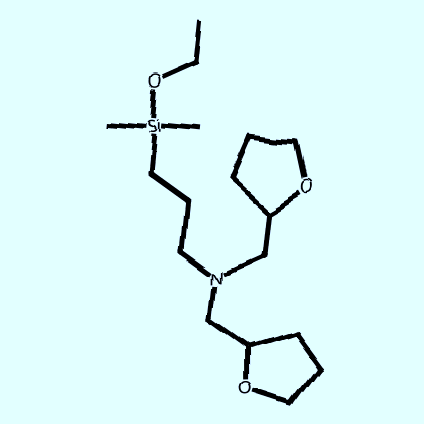 CCO[Si](C)(C)CCCN(CC1CCCO1)CC1CCCO1